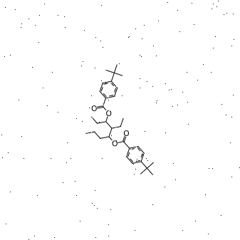 CCCC(OC(=O)c1ccc(C(C)(C)C)cc1)C(CC)C(CC)OC(=O)c1ccc(C(C)(C)C)cc1